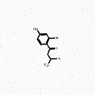 CC(C)CC(=O)c1ccc(O)cc1O